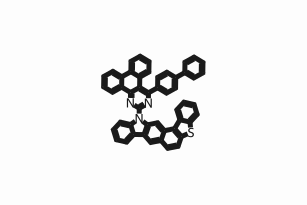 c1ccc(-c2ccc(-c3nc(-n4c5ccccc5c5cc6ccc7sc8ccccc8c7c6cc54)nc4c5ccccc5c5ccccc5c34)cc2)cc1